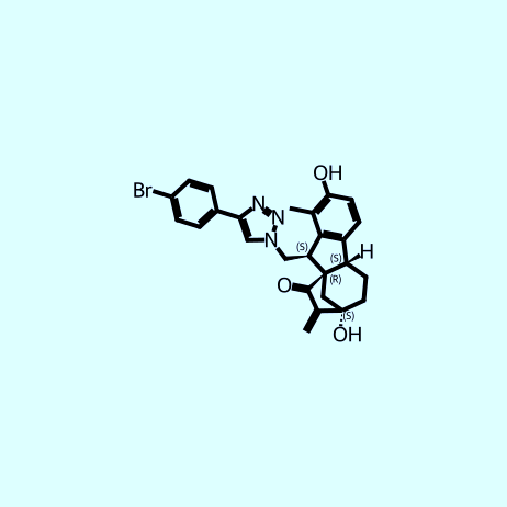 C=C1C(=O)[C@]23C[C@@]1(O)CC[C@H]2c1ccc(O)c(C)c1[C@@H]3Cn1cc(-c2ccc(Br)cc2)nn1